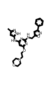 Cc1cc(Nc2cc(OCCN3CCOCC3)nc(NCc3cc(-c4ccccc4)no3)n2)[nH]n1